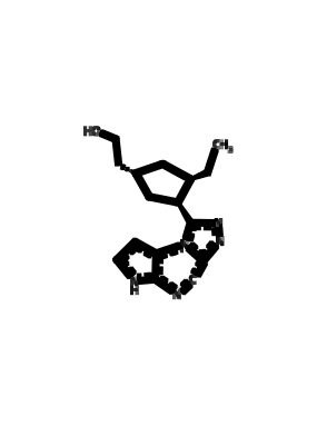 CC[C@@H]1C[C@@H](CCO)C[C@@H]1c1nnc2cnc3[nH]ccc3n12